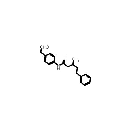 CC(CCc1ccccc1)CC(=O)Nc1ccc(C[C]=O)cc1